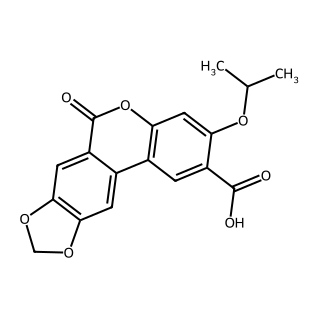 CC(C)Oc1cc2oc(=O)c3cc4c(cc3c2cc1C(=O)O)OCO4